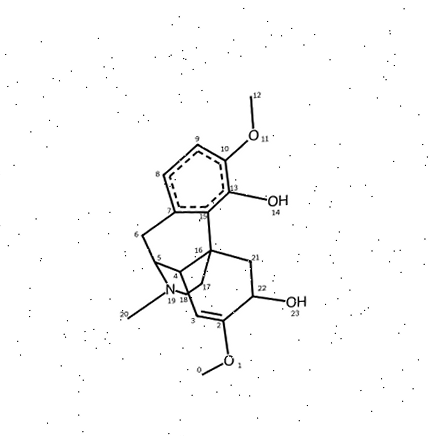 COC1=CC2C3Cc4ccc(OC)c(O)c4C2(CCN3C)CC1O